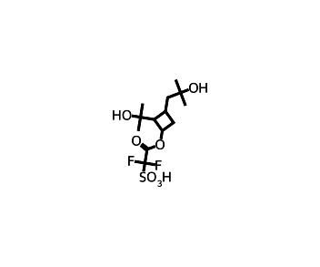 CC(C)(O)CC1CC(OC(=O)C(F)(F)S(=O)(=O)O)C1C(C)(C)O